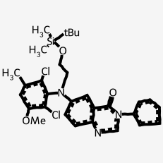 COc1cc(C)c(Cl)c(N(CCO[Si](C)(C)C(C)(C)C)c2ccc3ncn(-c4ccccc4)c(=O)c3c2)c1Cl